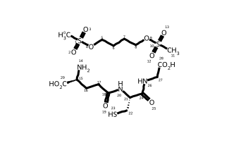 CS(=O)(=O)OCCCCOS(C)(=O)=O.N[C@@H](CCC(=O)N[C@@H](CS)C(=O)NCC(=O)O)C(=O)O